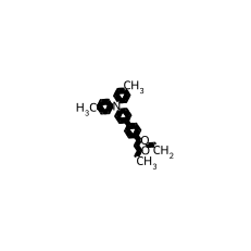 C=CC(=O)OC(CCCC)c1ccc(-c2ccc(N(c3ccc(C)cc3)c3ccc(C)cc3)cc2)cc1